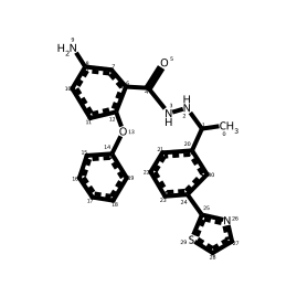 CC(NNC(=O)c1cc(N)ccc1Oc1ccccc1)c1cccc(-c2nccs2)c1